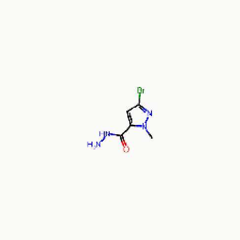 Cn1nc(Br)cc1C(=O)NN